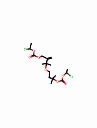 C=C(COC(=O)OC(C)Cl)C(C)(C)OCCC(C)(C)OC(=O)OC(C)Cl